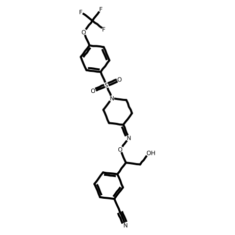 N#Cc1cccc(C(CO)ON=C2CCN(S(=O)(=O)c3ccc(OC(F)(F)F)cc3)CC2)c1